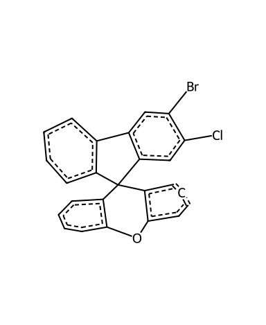 Clc1cc2c(cc1Br)-c1ccccc1C21c2ccccc2Oc2ccccc21